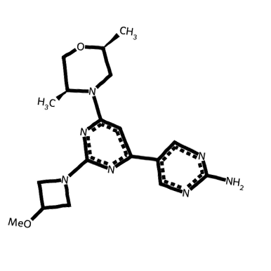 COC1CN(c2nc(-c3cnc(N)nc3)cc(N3C[C@H](C)OC[C@@H]3C)n2)C1